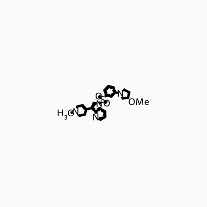 CO[C@H]1CCN(c2cccc(S(=O)(=O)n3cc(C4=CCN(C)CC4)c4ncccc43)c2)C1